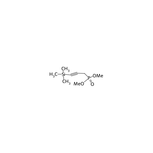 COP(=O)(CC#C[Si](C)(C)C)OC